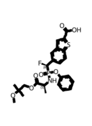 COC(C)(C)COC(=O)[C@H](C)NP(=O)(Oc1ccccc1)[C@@H](F)c1ccc2sc(C(=O)O)cc2c1